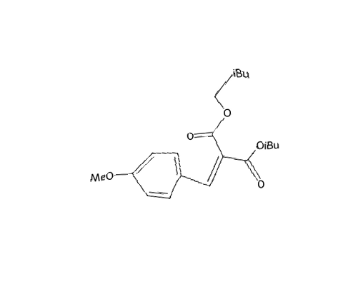 CCC(C)COC(=O)/C(=C\c1ccc(OC)cc1)C(=O)OCC(C)C